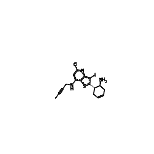 CC#CCNc1cc(Cl)nc2c(I)c([C@H]3CC=CC[C@@H]3N)sc12